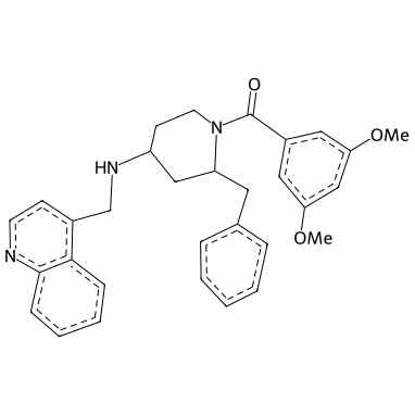 COc1cc(OC)cc(C(=O)N2CCC(NCc3ccnc4ccccc34)CC2Cc2ccccc2)c1